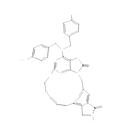 COc1ccc(CN(Cc2ccc(OC)cc2)c2nc3nc4c2[nH]c(=O)n4Cc2cc(c4c(c2)C(=O)N(C(C)(C)C)C4)CC=CCCS3)cc1